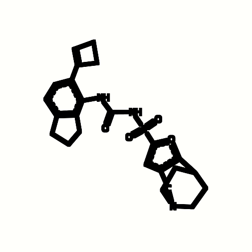 O=C(Nc1c(C2=CCC2)ccc2c1CCC2)NS(=O)(=O)c1cc2c(o1)C1CCN(CC1)C2